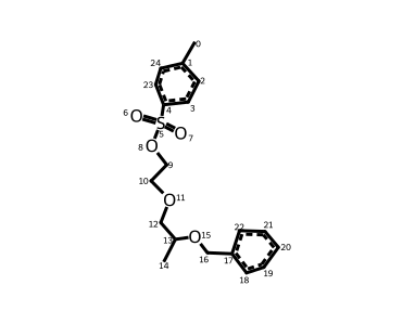 Cc1ccc(S(=O)(=O)OCCOCC(C)OCc2ccccc2)cc1